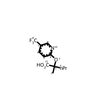 CCCC(C)(Oc1ccc(C(F)(F)F)cn1)C(=O)O